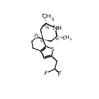 C[C@@H]1C[C@]2(C[C@H](C)N1)OCCc1cc(CC(F)F)sc12